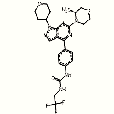 C[C@H]1COCCN1c1nc(-c2ccc(NC(=O)NCC(F)(F)F)cc2)c2cnn(C3CCOCC3)c2n1